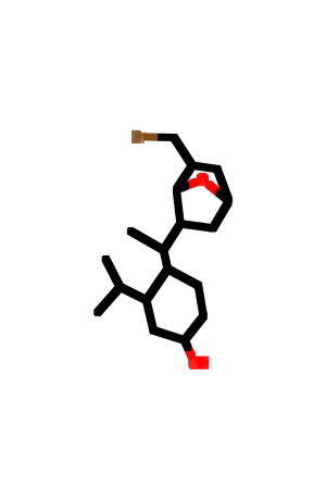 CC(C)C1CC(O)CCC1C(C)C1CC2CC(CBr)C1O2